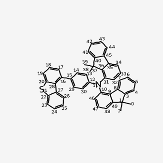 CC1(C)c2ccccc2-c2c(N(c3ccc(-c4cccc5sc6ccccc6c45)cc3)c3cccc4c3C(C)(C)c3ccccc3-4)cccc21